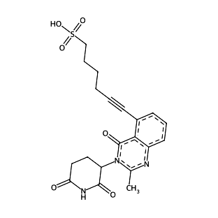 Cc1nc2cccc(C#CCCCCS(=O)(=O)O)c2c(=O)n1C1CCC(=O)NC1=O